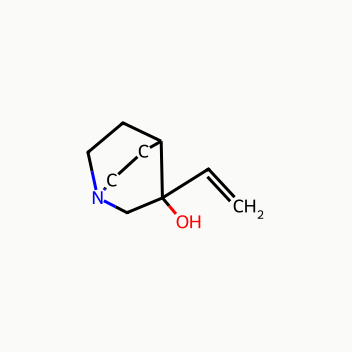 C=CC1(O)CN2CCC1CC2